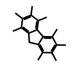 Cc1c(C)c(C)c2c(c1C)Cc1c(C)c(C)c(C)c(C)c1-2